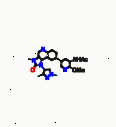 COc1ncc(-c2ccc3ncc4c(c3c2)n(-c2cn(C)nc2C)c(=O)n4C)cc1NC(C)=O